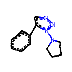 c1ccc(-c2cnnn2N2CCCC2)cc1